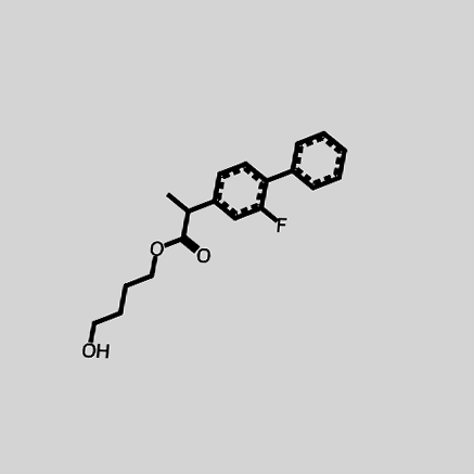 CC(C(=O)OCCCCO)c1ccc(-c2ccccc2)c(F)c1